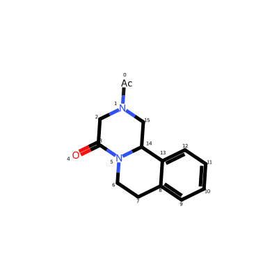 CC(=O)N1CC(=O)N2CCc3ccccc3C2C1